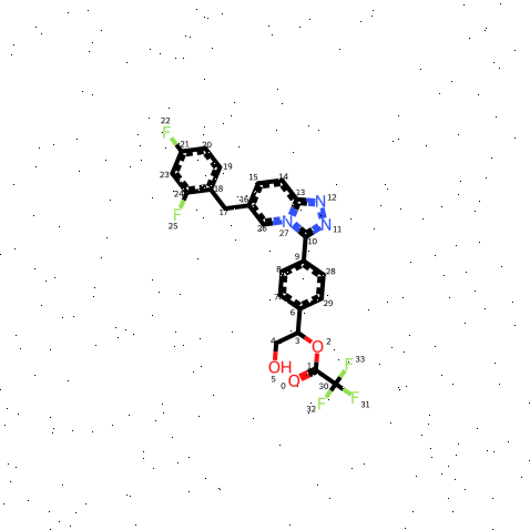 O=C(OC(CO)c1ccc(-c2nnc3ccc(Cc4ccc(F)cc4F)cn23)cc1)C(F)(F)F